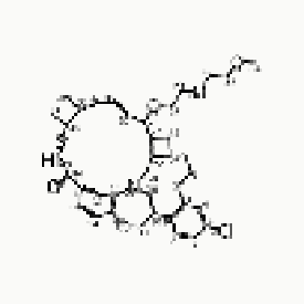 CCCc1cc(Cl)ccc1C1COc2ccc3cc2N(C1)CC1CCC1C(OCCOCCOC)/C=C/CC(C)C(C)SNC3=O